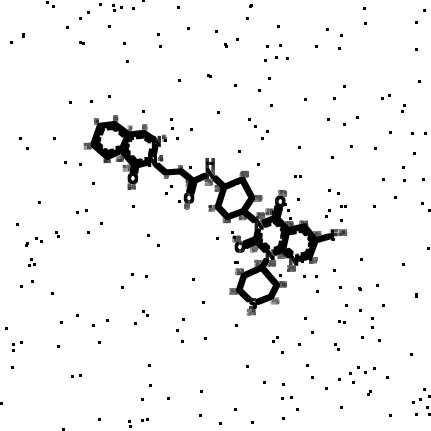 O=C(CCn1ncc2ccccc2c1=O)NC1CCC(n2c(=O)c3cc(F)cnc3n(C3CCSCC3)c2=O)CC1